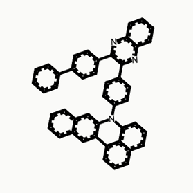 c1ccc(-c2ccc(-c3nc4ccccc4nc3-c3ccc(N4c5cc6ccccc6cc5-c5cccc6cccc4c56)cc3)cc2)cc1